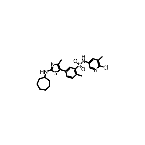 Cc1ccc(-c2sc(NC3CCCCCC3)nc2C)cc1S(=O)(=O)Nc1cnc(Cl)c(C)c1